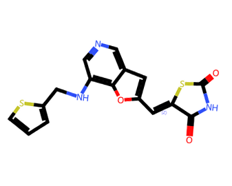 O=C1NC(=O)/C(=C/c2cc3cncc(NCc4cccs4)c3o2)S1